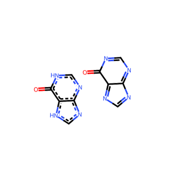 O=C1N=CN=C2N=CN=C12.O=c1[nH]cnc2nc[nH]c12